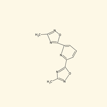 Cc1noc(-c2cccc(-c3nc(C)no3)n2)n1